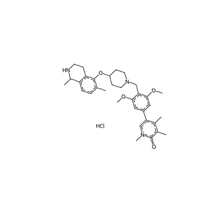 COc1cc(-c2cn(C)c(=O)c(C)c2C)cc(OC)c1CN1CCC(Oc2c(C)ccc3c2CCNC3C)CC1.Cl